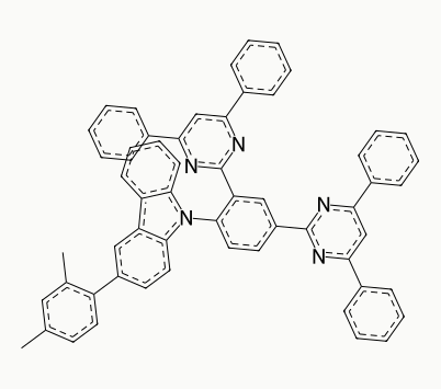 Cc1ccc(-c2ccc3c(c2)c2ccccc2n3-c2ccc(-c3nc(-c4ccccc4)cc(-c4ccccc4)n3)cc2-c2nc(-c3ccccc3)cc(-c3ccccc3)n2)c(C)c1